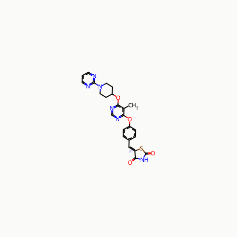 Cc1c(Oc2ccc(/C=C3\SC(=O)NC3=O)cc2)ncnc1OC1CCN(c2ncccn2)CC1